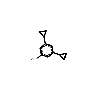 O=Cc1cc(C2CC2)cc(C2CC2)c1